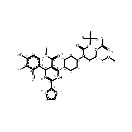 COC[C@H](CN(C(=O)OC(C)(C)C)[C@H]1CC[C@H](C2=C(C(=O)OC)C(c3ccc(F)c(F)c3Cl)N=C(c3nccs3)N2)CC1)OC(C)=O